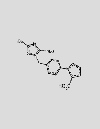 CCCCc1nc(C(C)CC)nn1Cc1ccc(-n2cccc2C(=O)O)cc1